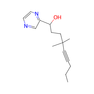 CCCC#CC(C)(C)CCC(O)c1cnccn1